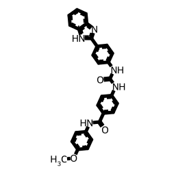 COc1ccc(NC(=O)c2ccc(NC(=O)Nc3ccc(-c4nc5ccccc5[nH]4)cc3)cc2)cc1